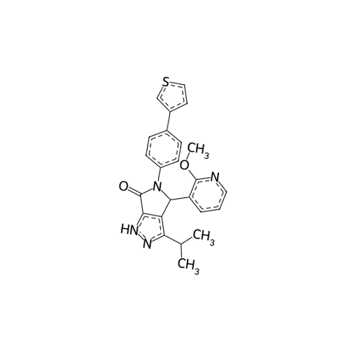 COc1ncccc1C1c2c(C(C)C)n[nH]c2C(=O)N1c1ccc(-c2ccsc2)cc1